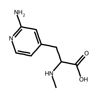 CNC(Cc1ccnc(N)c1)C(=O)O